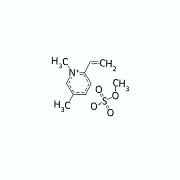 C=Cc1ccc(C)c[n+]1C.COS(=O)(=O)[O-]